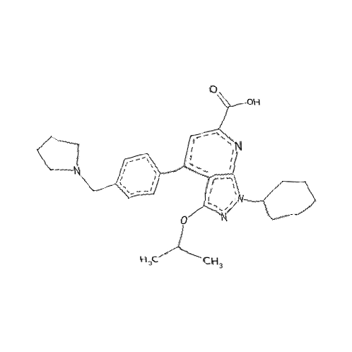 CC(C)Oc1nn(C2CCCCC2)c2nc(C(=O)O)cc(-c3ccc(CN4CCCC4)cc3)c12